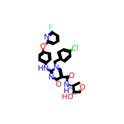 O=C(N[C@H]1COC[C@@H]1O)c1cn(Cc2ccc(Cl)cc2)c(Nc2ccc(Oc3cccc(F)n3)cc2)nc1=O